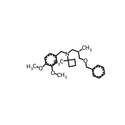 COc1ccc(CN(C[C@@H](C)COCc2ccccc2)C2(C)CCC2)cc1OC